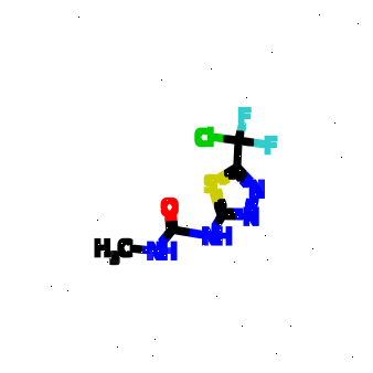 CNC(=O)Nc1nnc(C(F)(F)Cl)s1